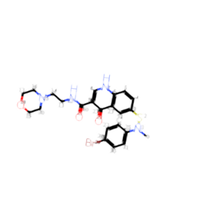 CN(Sc1ccc2[nH]cc(C(=O)NCCN3CCOCC3)c(=O)c2c1)c1ccc(Br)cc1